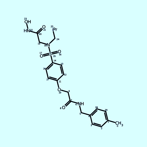 Cc1ccc(CNC(=O)COc2ccc(S(=O)(=O)N(CC(=O)NO)CC(C)C)cc2)cc1